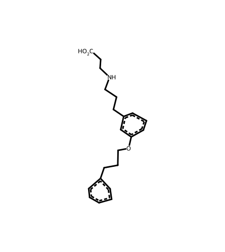 O=C(O)CCNCCCc1cccc(OCCCc2ccccc2)c1